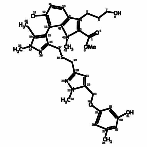 COC(=O)c1c(CCCO)c2ccc(Cl)c(-c3c(CSCc4cc(COc5cc(C)cc(O)c5)n(C)n4)nn(C)c3C)c2n1C